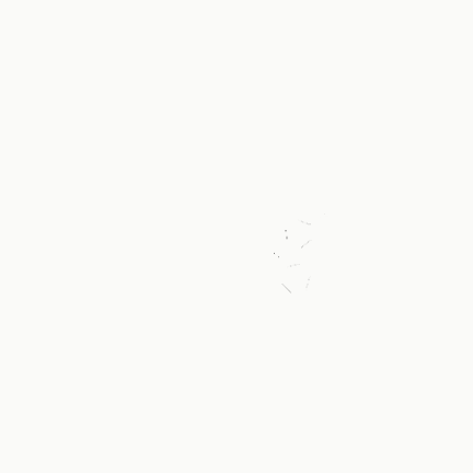 CCCCCCCCCCCCn1c2ccc(Br)cc2c2cc(Br)ccc21